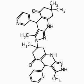 Cc1[nH]nc2c1C(c1ccccn1)C1=C(CC(C)(n3nc4c(c3C)C(c3cccnc3)C3=C(CC(C)(C)CC3=O)N4)CC1=O)N2